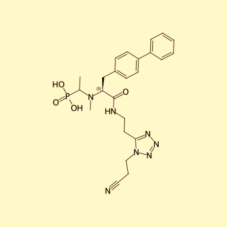 CC(N(C)[C@@H](Cc1ccc(-c2ccccc2)cc1)C(=O)NCCc1nnnn1CCC#N)P(=O)(O)O